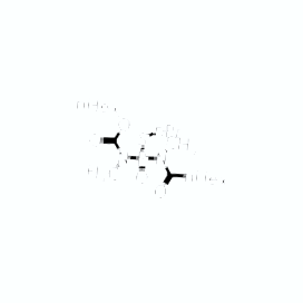 CCCCCCOC(=O)N(C)P(=O)(SCCC)N(C)C(=O)CCCCCC